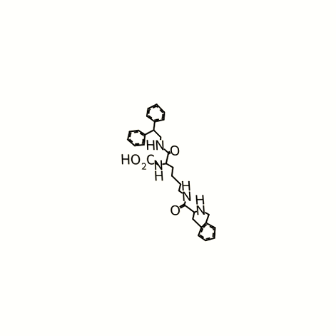 O=C(O)NC(CCCCNC(=O)C1Cc2ccccc2CN1)C(=O)NCC(c1ccccc1)c1ccccc1